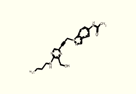 CCCCNc1ncc(C#CCn2ncc3cc(NC(C)=O)ccc32)nc1CO